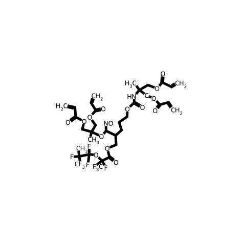 C=CC(=O)OCC(C)(COC(=O)C=C)NC(=O)OCCCC(COC(=O)C(F)(OC(F)(F)C(C)(F)C(F)(F)F)C(F)(F)F)C(N=O)OC(C)(COC(=O)C=C)COC(=O)C=C